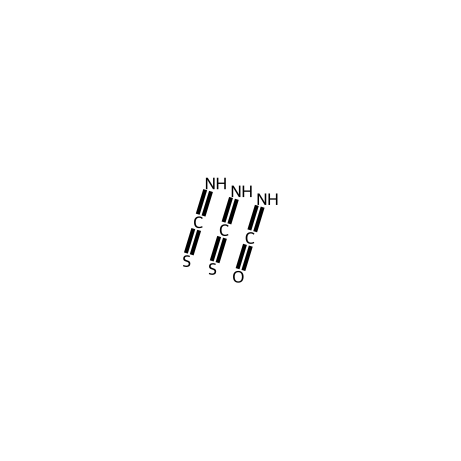 N=C=O.N=C=S.N=C=S